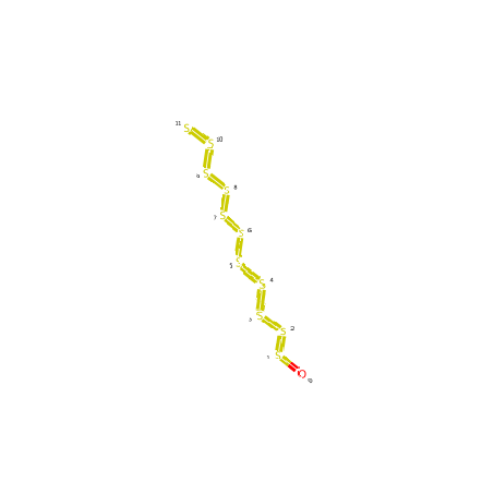 O=S=S=S=S=S=S=S=S=S=S=S